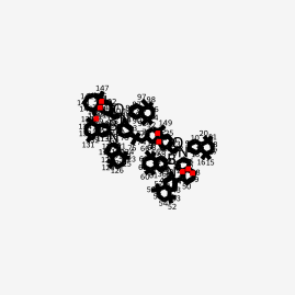 Cc1cc2c3c(c1)N(c1ccc4c(c1)C(C)(C)CCC4(C)C)c1oc4cc5c(cc4c1B3c1cc3c(cc1N2c1cc2c(cc1-c1ccccc1)C(C)(C)CCC2(C)C)C(C)(C)CCC3(C)C)[C@@]1(C)CCC(CC1CC(C)(C)c1cc2c3c(c1)N(c1ccc4c(c1)C(C)(C)CCC4(C)C)c1oc4cc6c(cc4c1B3c1cc3c(cc1N2c1ccc2c(c1)C(C)(C)CCC2(C)C)C(C)(C)CCC3(C)C)C1(C)CCCC(CC1)C6C)C5C